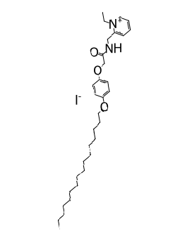 CCCCCCCCCCCCCCCCOc1ccc(OCC(=O)NCc2cccc[n+]2CC)cc1.[I-]